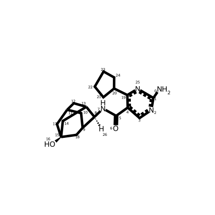 Nc1ncc(C(=O)N[C@H]2C3CC4CC2C[C@@](O)(C4)C3)c(C2CCCC2)n1